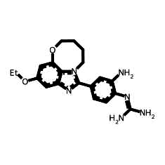 CCOc1cc2c3c(c1)nc(-c1ccc(N=C(N)N)c(N)c1)n3CCCCO2